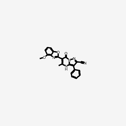 COc1cccc2oc(-c3c(C)[nH]c4c(-c5ccccc5)c(C#N)nn4c3=O)nc12